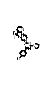 FC(F)(F)c1cccnc1N1CCN(c2nc(-c3ccc(Cl)cc3)nc(N3CCCC3)n2)CC1